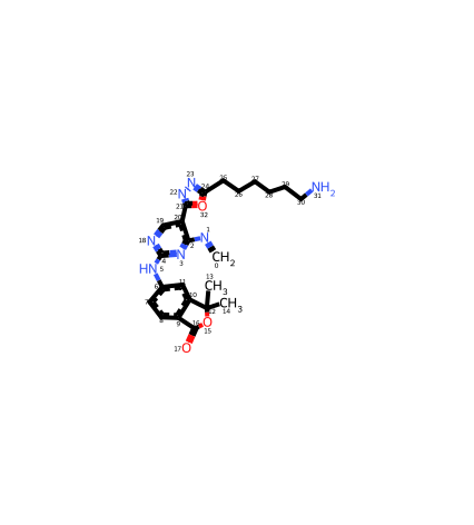 C=Nc1nc(Nc2ccc3c(c2)C(C)(C)OC3=O)ncc1-c1nnc(CCCCCCN)o1